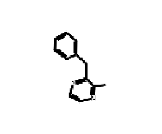 Ic1nccnc1Cc1ccccc1